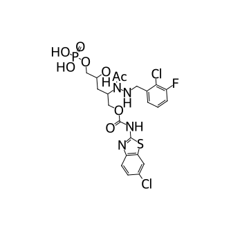 CC(=O)N(NCc1cccc(F)c1Cl)C(COC(=O)Nc1nc2ccc(Cl)cc2s1)CC(O)COP(=O)(O)O